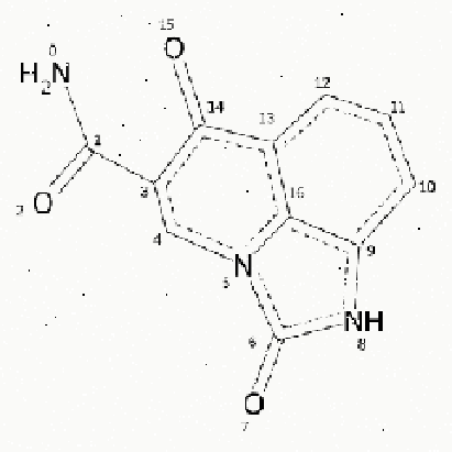 NC(=O)c1cn2c(=O)[nH]c3cccc(c1=O)c32